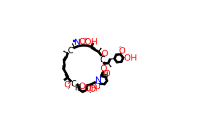 C/N=C1\[C@H](C)C[C@H](C)/C=C/C=C/C=C(\C)[C@@H](OC)C[C@@H]2CC[C@@H](C)[C@@](O)(O2)C(=O)C(=O)N2CCCC[C@H]2C(=O)O[C@H]([C@H](C)C[C@@H]2CC[C@@H](O)[C@H](OC)C2)CC(=O)[C@H](C)/C=C(\C)[C@@H](O)[C@H]1OC